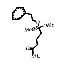 CO[Si](CCCC(N)=O)(OC)OCCc1ccccc1